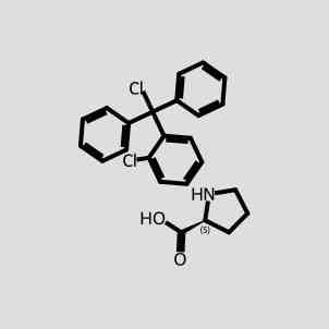 Clc1ccccc1C(Cl)(c1ccccc1)c1ccccc1.O=C(O)[C@@H]1CCCN1